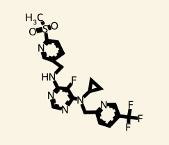 CS(=O)(=O)c1ccc(CNc2ncnc(N(Cc3ccc(C(F)(F)F)cn3)C3CC3)c2F)cn1